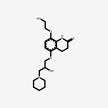 O=C1CCc2c(OCC(O)CN3CCCCC3)ccc(OCCO)c2N1